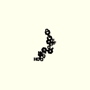 COc1c(C(=O)O)cnn1-c1cccc(-c2cccc(C)c2OCc2ccc3c(c2C(F)(F)F)CCN(C2CCOCC2)C3)n1